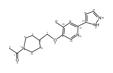 CC(=O)N1CCC(COc2cnc(-c3ccn[nH]3)cc2C)CC1